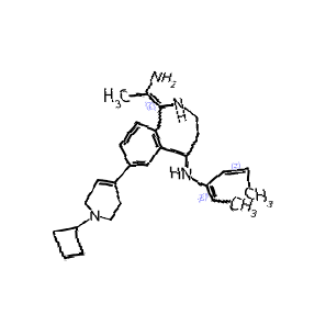 C/C=C\C(=C/C)NC1CCN/C(=C(/C)N)c2ccc(C3=CCN(C4CCC4)CC3)cc21